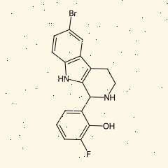 Oc1c(F)cccc1C1NCCc2c1[nH]c1ccc(Br)cc21